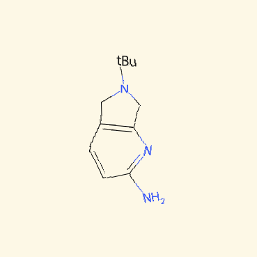 CC(C)(C)N1Cc2ccc(N)nc2C1